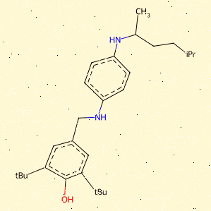 CC(C)CCC(C)Nc1ccc(NCc2cc(C(C)(C)C)c(O)c(C(C)(C)C)c2)cc1